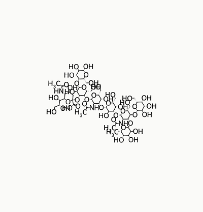 CC(=O)N[C@H]1[C@H](O[C@H]2[C@@H](O)[C@@H](CO)O[C@@H](O[C@H]3[C@@H](O)[C@@H](CO)O[C@@H](O[C@@H]4[C@H](O[C@]5(C(=O)O)C[C@H](O)[C@@H](NC(C)=O)[C@H]([C@H](O)[C@H](O)CO)O5)[C@@H](O)[C@H](O[C@H]5[C@H](O)[C@@H](O)[C@H](O)O[C@@H]5CO)O[C@@H]4CO)[C@@H]3NC(C)=O)[C@@H]2O)O[C@H](CO)[C@@H](O[C@@H]2O[C@H](CO)[C@H](O)[C@H](O)[C@H]2O)[C@@H]1O[C@@H]1O[C@@H](C)[C@@H](O)[C@@H](O)[C@@H]1O